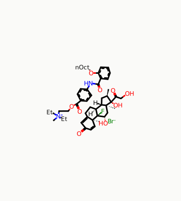 CCCCCCCCOc1ccccc1C(=O)Nc1ccc(C(=O)OCC[N+](C)(CC)CC)cc1.C[C@@H]1C[C@H]2[C@@H]3CCC4=CC(=O)C=C[C@]4(C)[C@@]3(F)[C@@H](O)C[C@]2(C)[C@@]1(O)C(=O)CO.[Br-]